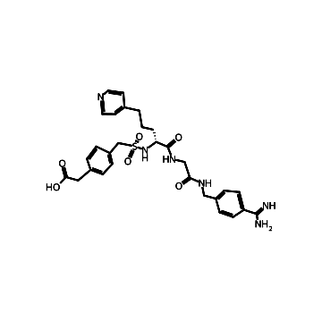 N=C(N)c1ccc(CNC(=O)CNC(=O)[C@@H](CCCc2ccncc2)NS(=O)(=O)Cc2ccc(CC(=O)O)cc2)cc1